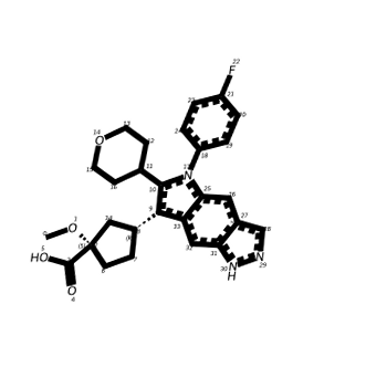 CO[C@@]1(C(=O)O)CC[C@@H](c2c(C3CCOCC3)n(-c3ccc(F)cc3)c3cc4cn[nH]c4cc23)C1